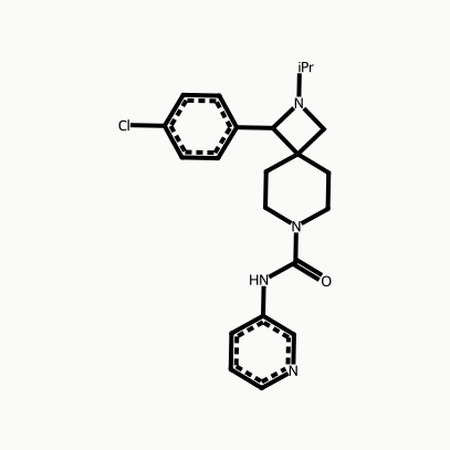 CC(C)N1CC2(CCN(C(=O)Nc3cccnc3)CC2)C1c1ccc(Cl)cc1